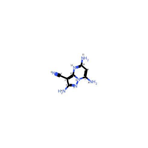 N#Cc1c(N)nn2c(N)cc(N)nc12